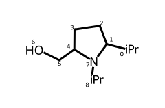 CC(C)C1CCC(CO)N1C(C)C